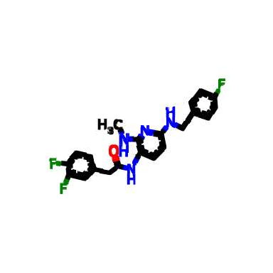 CNc1nc(NCc2ccc(F)cc2)ccc1NC(=O)Cc1ccc(F)c(F)c1